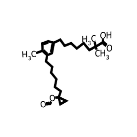 Cc1ccc(CCCCCCC(C)(C)C(=O)O)cc1CCCCCCC1(OC=O)CC1